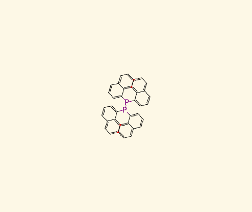 c1ccc2c(P(c3cccc4ccccc34)P(c3cccc4ccccc34)c3cccc4ccccc34)cccc2c1